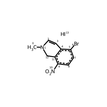 CN1C=Cc2c(Br)ccc([N+](=O)[O-])c2C1.I